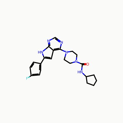 O=C(NC1CCCC1)N1CCN(c2ncnc3[nH]c(-c4ccc(F)cc4)cc23)CC1